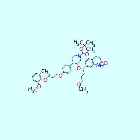 COCCCC(OC1CN(C(=O)OC(C)(C)C)CCC1c1ccc(OCCCOc2c(C)cccc2OC)cc1)c1ccc2c(c1)NC(=O)CC2